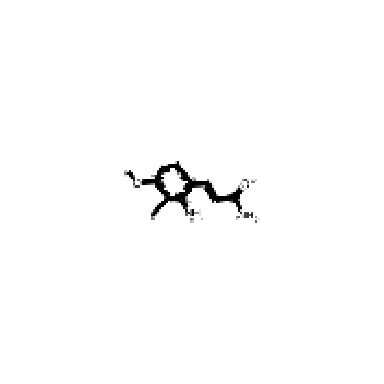 COc1ccc(C=CC(N)=O)c(N)c1C